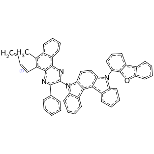 C=C/C=C\c1c(C)c2ccccc2c2nc(-n3c4ccccc4c4c5c6ccccc6n(-c6cccc7c6oc6ccccc67)c5ccc43)c(-c3ccccc3)nc12